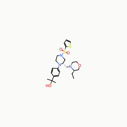 CC[C@@H]1COCCN1C[C@H]1CN(S(=O)(=O)c2cccs2)CCN1c1ccc(C(C)(C)O)cc1